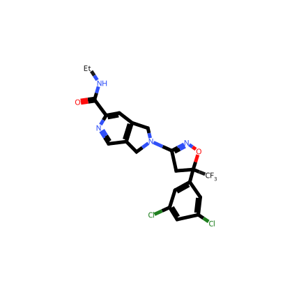 CCNC(=O)c1cc2c(cn1)CN(C1=NOC(c3cc(Cl)cc(Cl)c3)(C(F)(F)F)C1)C2